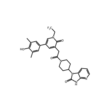 Cc1cc(-c2cc(CC(=O)N3CCC(n4c(=O)[nH]c5ncccc54)CC3)c(=O)n(CC(F)(F)F)c2)cc(C)c1O